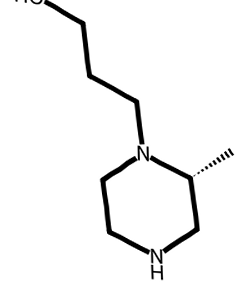 C[C@@H]1CNCCN1CCCO